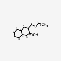 CCOCC1CC2CCCCC2CC1O